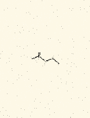 CBSSC